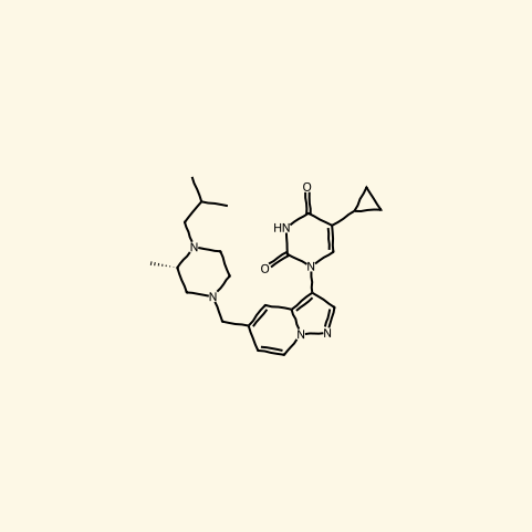 CC(C)CN1CCN(Cc2ccn3ncc(-n4cc(C5CC5)c(=O)[nH]c4=O)c3c2)C[C@@H]1C